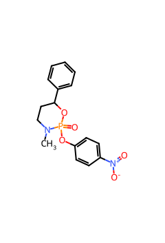 CN1CCC(c2ccccc2)OP1(=O)Oc1ccc([N+](=O)[O-])cc1